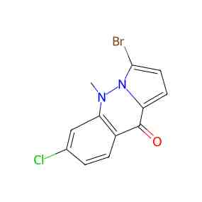 Cn1c2cc(Cl)ccc2c(=O)c2ccc(Br)n21